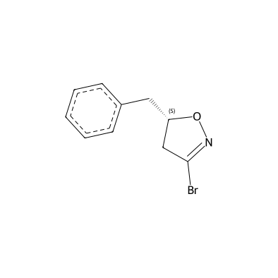 BrC1=NO[C@@H](Cc2ccccc2)C1